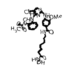 COc1cc(C(=O)NCCCCCCC(=O)NO)ccc1Nc1ncc(Cl)c(Nc2ccccc2N(C)S(C)(=O)=O)n1